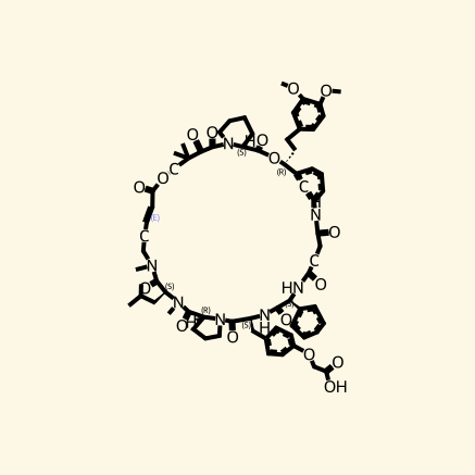 COc1ccc(CC[C@H]2OC(=O)[C@@H]3CCCCN3C(=O)C(=O)C(C)(C)COC(=O)/C=C/CCN(C)C(=O)[C@H](CC(C)C)N(C)C(=O)[C@H]3CCCN3C(=O)[C@H](Cc3ccc(OCC(=O)O)cc3)NC(=O)[C@H](c3ccccc3)NC(=O)CCC(=O)Nc3cccc2c3)cc1OC